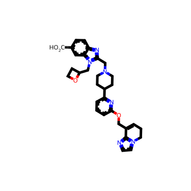 O=C(O)c1ccc2nc(CN3CCC(c4cccc(OCC5=CCCn6ccnc65)n4)CC3)n(CC3CCO3)c2c1